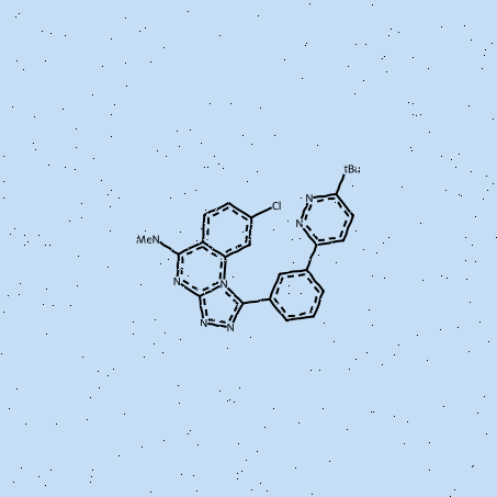 CNc1nc2nnc(-c3cccc(-c4ccc(C(C)(C)C)nn4)c3)n2c2cc(Cl)ccc12